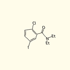 CCN(CC)C(=O)c1cc(I)ccc1Cl